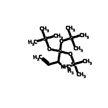 C=CC(N)[Si](O[Si](C)(C)C)(O[Si](C)(C)C)O[Si](C)(C)C